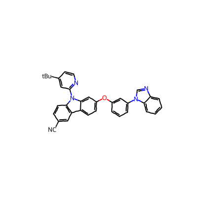 CC(C)(C)c1ccnc(-n2c3ccc(C#N)cc3c3ccc(Oc4cccc(-n5cnc6ccccc65)c4)cc32)c1